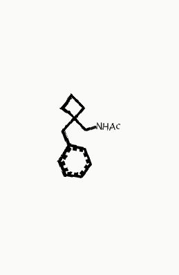 CC(=O)NCC1(Cc2ccccc2)CCC1